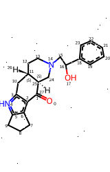 O=C1c2c([nH]c3c2CCC3)C[C@@H]2CCN(CC(O)c3ccccc3)C[C@@H]12